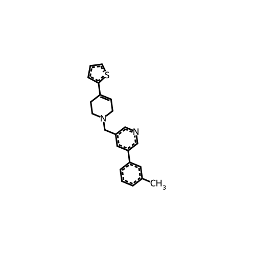 Cc1cccc(-c2cncc(CN3CC=C(c4cccs4)CC3)c2)c1